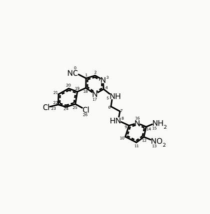 N#Cc1cnc(NCCNc2ccc([N+](=O)[O-])c(N)n2)nc1-c1ccc(Cl)cc1Cl